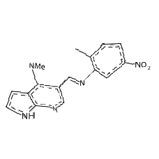 CNc1c(C=Nc2cc([N+](=O)[O-])ccc2C)cnc2[nH]ccc12